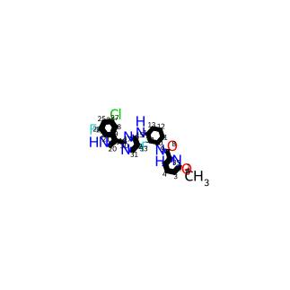 COc1cccc(C(=O)N[C@@H]2CCC[C@H](Nc3nc(-c4c[nH]c5c(F)cc(Cl)cc45)ncc3F)C2)n1